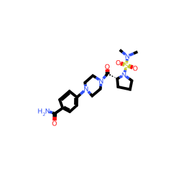 CN(C)S(=O)(=O)N1CCC[C@@H]1C(=O)N1CCN(c2ccc(C(N)=O)cc2)CC1